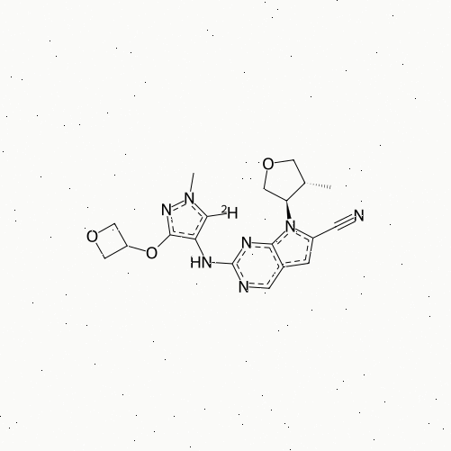 [2H]c1c(Nc2ncc3cc(C#N)n([C@H]4COC[C@@H]4C)c3n2)c(OC2COC2)nn1C